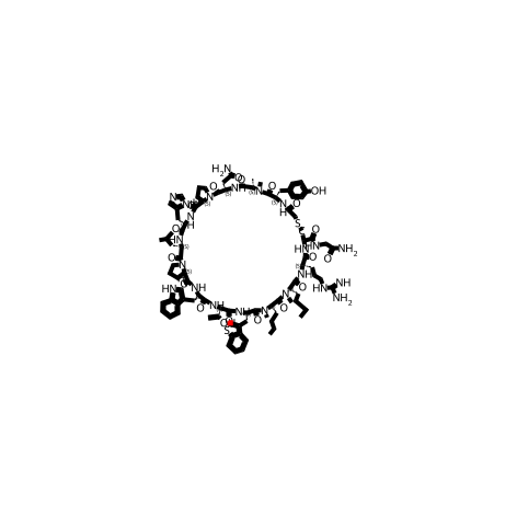 C=C(O)[C@@H]1NC(=O)[C@H](Cc2c[nH]c3ccccc23)NC(=O)[C@@H]2CCCN2C(=O)[C@H](CC(C)C)NC(=O)[C@H](Cc2cnc[nH]2)NC(=O)[C@@H]2CCCN2C(=O)[C@H](CC(N)=O)NC(=O)[C@H](C)N(C)C(=O)[C@H](Cc2ccc(O)cc2)NC(=O)CSCC(C(=O)NCC(N)=O)NC(=O)[C@H](CCCNC(=N)N)NC(=O)[C@H](CCCC)N(C)C(=O)[C@H](CCCC)N(C)C(=O)[C@H](Cc2csc3ccccc23)NC1=O